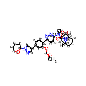 COCOc1cc(-c2cnn(C3CCCCO3)c2)ccc1-c1ccc(N(C)[C@H]2C[C@H]3CCC[C@@H](C2)N3C(=O)O)nn1